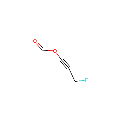 O=COC#CCF